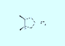 C[C@@H]1CC(C(F)(F)F)C[C@@H]1C